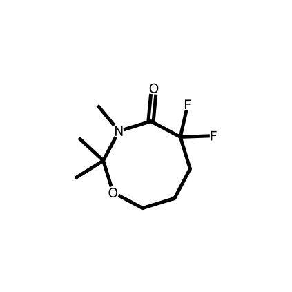 CN1C(=O)C(F)(F)CCCOC1(C)C